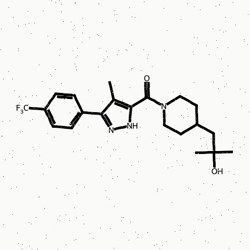 Cc1c(-c2ccc(C(F)(F)F)cc2)n[nH]c1C(=O)N1CCC(CC(C)(C)O)CC1